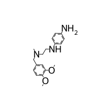 COc1ccc(CN(C)CCNc2ccc(N)cc2)cc1OC